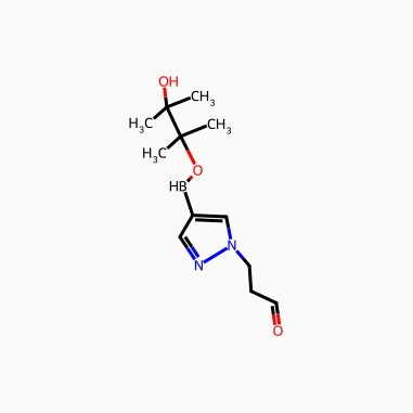 CC(C)(O)C(C)(C)OBc1cnn(CCC=O)c1